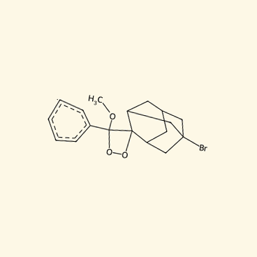 COC1(c2c[c]ccc2)OOC12C1CC3CC2CC(Br)(C3)C1